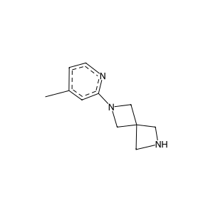 Cc1ccnc(N2CC3(CNC3)C2)c1